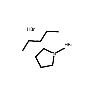 Br.Br.CCCCC.CN1CCCC1